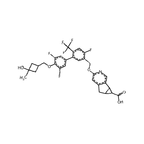 CC1(O)CC(COc2c(F)cc(-c3cc(COc4cc5c(cn4)C4C(C5)C4C(=O)O)c(F)cc3C(F)(F)F)cc2F)C1